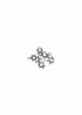 Cc1c(-c2ccccn2)nc2cc(F)ccc2c1N1CC2(CCOCC2)c2nc(Cl)c(N3CCOCC3)cc21